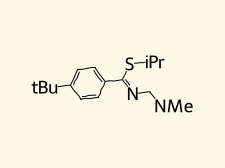 CNC/N=C(\SC(C)C)c1ccc(C(C)(C)C)cc1